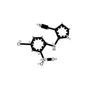 N#Cc1ccsc1Nc1ccc(Cl)cc1[N+](=O)[O-]